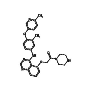 Cc1ccc(Oc2ccc(Nc3ncnc4cccc(OCC(=O)N5CCNCC5)c34)cc2C)cn1